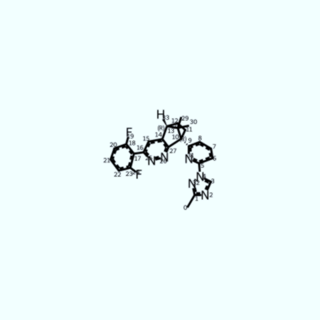 Cc1ncn(-c2cccc([C@]34CC[C@@H](c5cc(-c6c(F)cccc6F)nnc53)C4(C)C)n2)n1